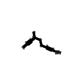 [CH2]C#CC(C)CCC#CC(C)C